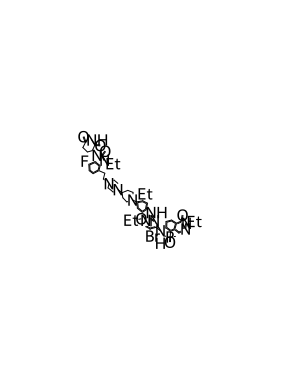 CCOc1cc(N2CCC(N3CCN(CCc4ccc(F)c5c4n(CC)c(=O)n5C4CCC(=O)NC4=O)CC3)CC2)c(CC)cc1Nc1ncc(Br)c(Nc2ccc3c(=O)n(CC)ncc3c2P(C)(C)=O)n1